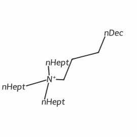 CCCCCCCCCCCCC[N+](CCCCCCC)(CCCCCCC)CCCCCCC